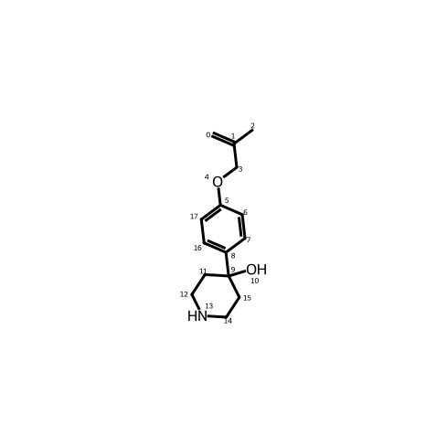 C=C(C)COc1ccc(C2(O)CCNCC2)cc1